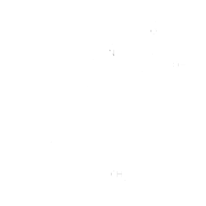 C=CCc1ccccc1-c1ccc(C(=O)O)nc1